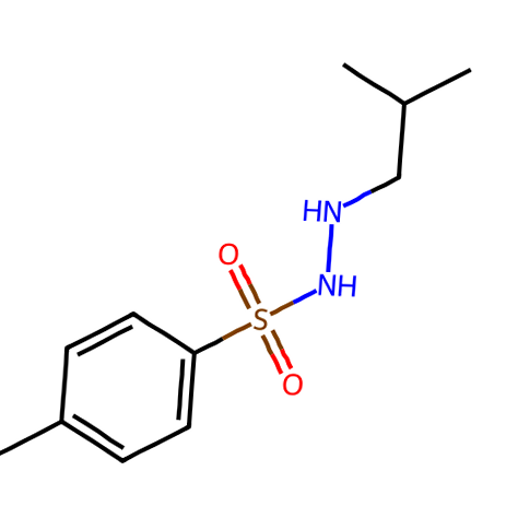 Cc1ccc(S(=O)(=O)NNCC(C)C)cc1